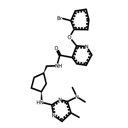 Cc1cnc(N[C@H]2CC[C@@H](CNC(=O)c3cccnc3Oc3ccccc3Br)C2)nc1N(C)C